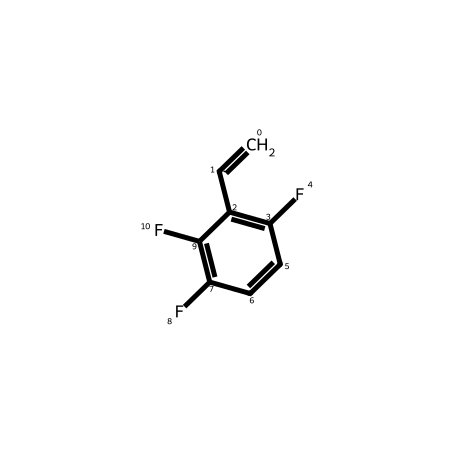 C=[C]c1c(F)ccc(F)c1F